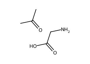 CC(C)=O.NCC(=O)O